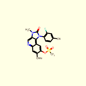 COc1cc2ncc3c(c2cc1OS(=O)(=O)C(F)(F)F)n(-c1ccc(C#N)cc1F)c(=O)n3C